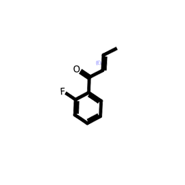 C/C=C/C(=O)c1ccccc1F